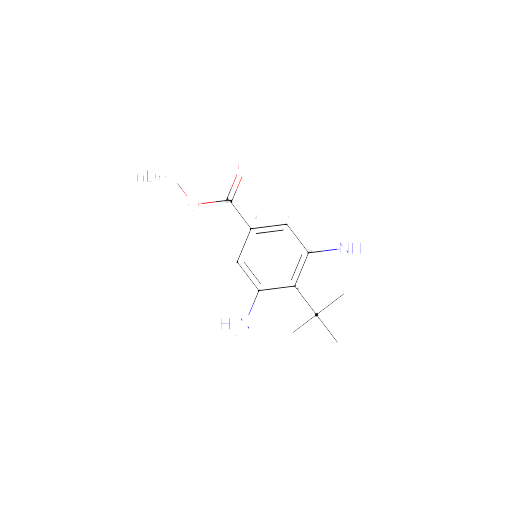 CCCCCCCCCCOC(=O)c1cc(N)c(C(C)(C)CC)c(N)c1